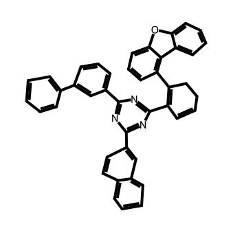 C1=CC(c2nc(-c3cccc(-c4ccccc4)c3)nc(-c3ccc4ccccc4c3)n2)=C(c2cccc3oc4ccccc4c23)CC1